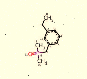 CCc1cccc(CP(C)(C)=O)c1